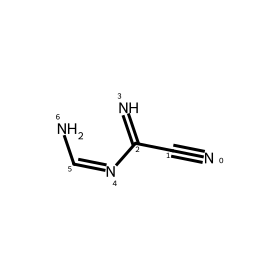 N#CC(=N)/N=C\N